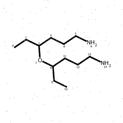 CCC(CCCN)OC(CC)CCCN